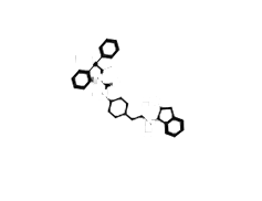 C[C@@H](NC(=O)NC1CCC(CCN[C@@H]2c3ccccc3C[C@@H]2O)CC1)C(O)(c1ccccc1)c1ccccc1